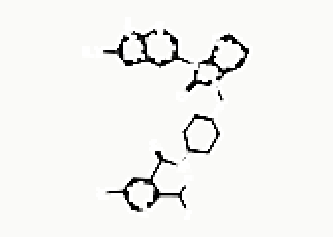 Cc1cc2cc(-n3c(=O)n(C[C@H]4CC[C@H](NC(=O)c5cc(Cl)cnc5C(F)F)CC4)c4cccnc43)cnc2[nH]1